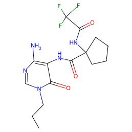 CCCn1cnc(N)c(NC(=O)C2(NC(=O)C(F)(F)F)CCCC2)c1=O